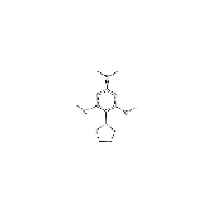 COc1cc([SiH](C)C)cc(OC)c1C1CCCC1